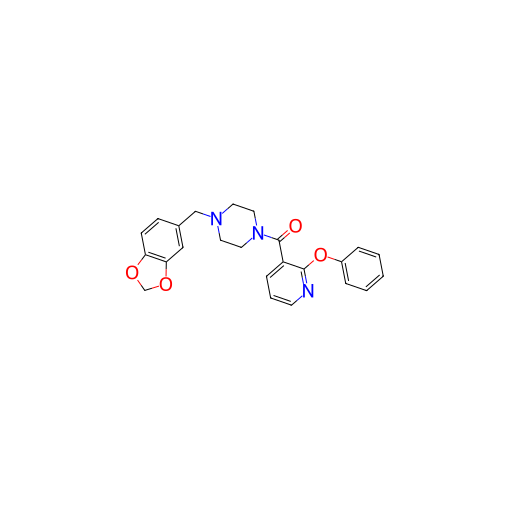 O=C(c1cccnc1Oc1ccccc1)N1CCN(Cc2ccc3c(c2)OCO3)CC1